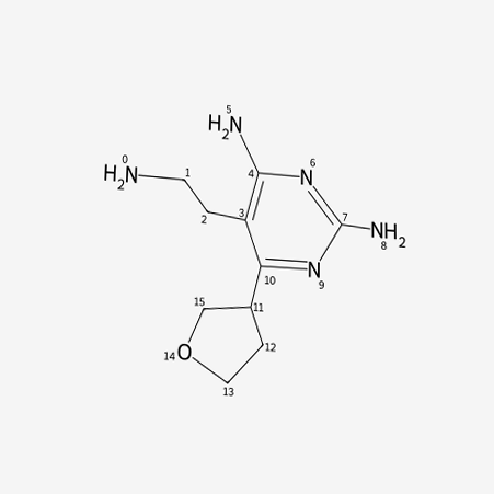 NCCc1c(N)nc(N)nc1C1CCOC1